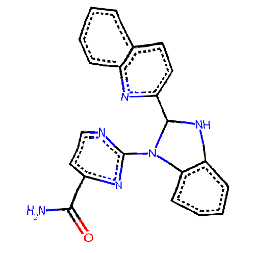 NC(=O)c1ccnc(N2c3ccccc3NC2c2ccc3ccccc3n2)n1